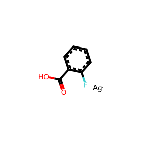 O=C(O)c1ccccc1F.[Ag]